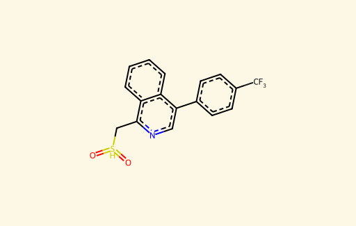 O=[SH](=O)Cc1ncc(-c2ccc(C(F)(F)F)cc2)c2ccccc12